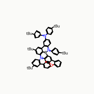 CC(C)(C)c1ccc(N2B3c4cc5c(cc4N(c4ccc(C(C)(C)C)cc4-c4ccccc4)c4cc(C(C)(C)C)cc(c43)-c3cc(N(c4ccc(C(C)(C)C)cc4)c4ccc(C(C)(C)C)cc4)ccc32)oc2ccccc25)cc1